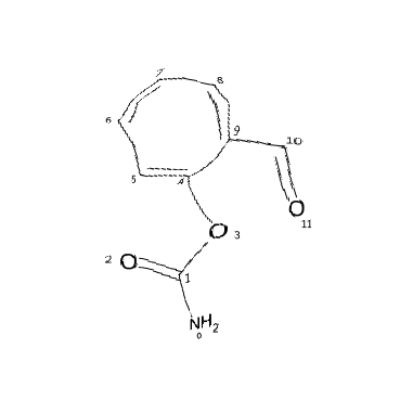 NC(=O)Oc1ccccc1C=O